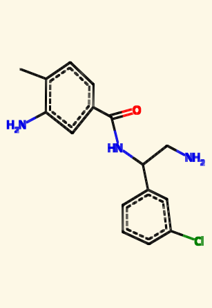 Cc1ccc(C(=O)NC(CN)c2cccc(Cl)c2)cc1N